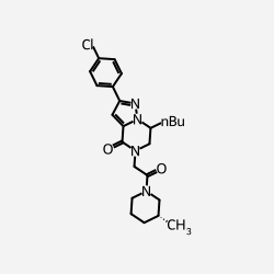 CCCCC1CN(CC(=O)N2CCC[C@@H](C)C2)C(=O)c2cc(-c3ccc(Cl)cc3)nn21